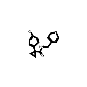 O=C(NCc1ccncc1)C1(c2ccc(Cl)cc2)CC1